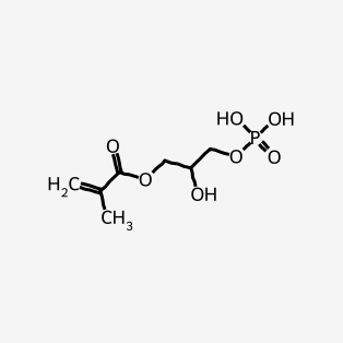 C=C(C)C(=O)OCC(O)COP(=O)(O)O